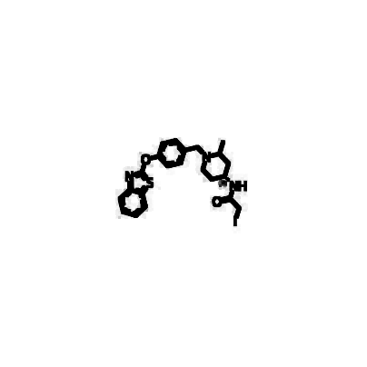 CC1C[C@H](NC(=O)CI)CCN1Cc1ccc(Oc2nc3ccccc3s2)cc1